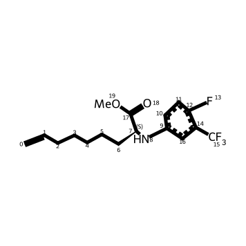 C=CCCCCC[C@H](Nc1ccc(F)c(C(F)(F)F)c1)C(=O)OC